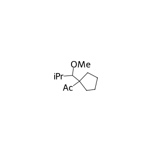 COC(C(C)C)C1(C(C)=O)CCCC1